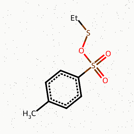 CCSOS(=O)(=O)c1ccc(C)cc1